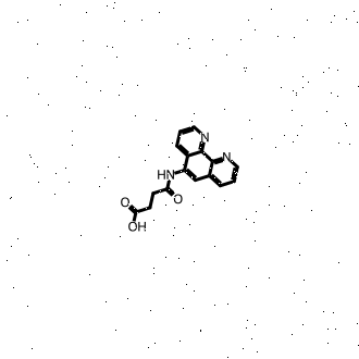 O=C(O)CCC(=O)Nc1cc2cccnc2c2ncccc12